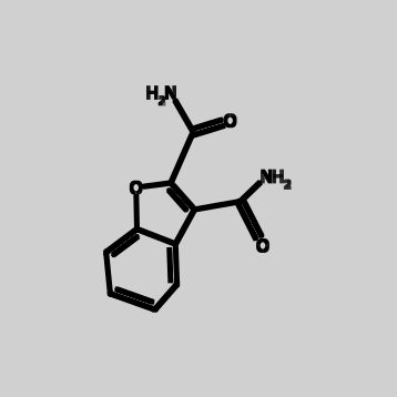 NC(=O)c1oc2ccccc2c1C(N)=O